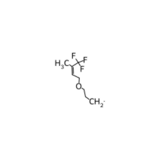 [CH2]CCOCC=C(C)C(F)(F)F